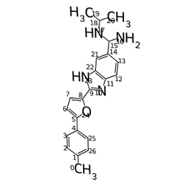 Cc1ccc(-c2ccc(-c3nc4ccc(C(N)NC(C)C)cc4[nH]3)o2)cc1